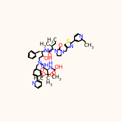 CCc1cc(-c2nc(CN3CCN([C@H](C(=O)N[C@@H](Cc4ccccc4)[C@@H](O)CN(Cc4ccc(-c5ccccn5)cc4)NC(=O)[C@@H](NC(=O)O)C(C)(OC)OC)[C@@H](C)CC)C3=O)cs2)ccn1